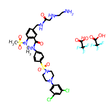 CN(c1ccc(CNC(=O)CNCCN)cc1C(=O)Nc1ccc(S(=O)(=O)N2CCN(c3cc(Cl)cc(Cl)c3)CC2)cc1)S(C)(=O)=O.O=C(O)C(F)(F)F.O=C(O)C(F)(F)F